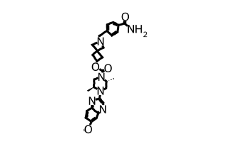 COc1ccc2nc(N3C[C@@H](C)N(C(=O)OC4CC5(C4)CN(Cc4ccc(C(N)=O)cc4)C5)C[C@@H]3C)cnc2c1